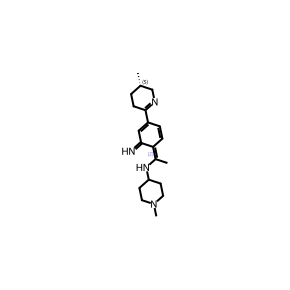 C/C(NC1CCN(C)CC1)=C1\C=CC(C2=NC[C@@H](C)CC2)=CC1=N